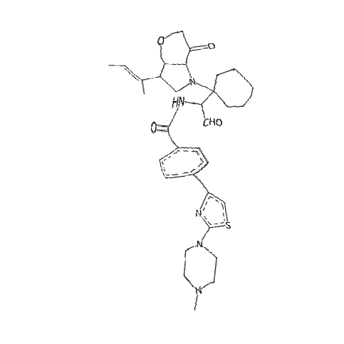 CC=C(C)C1CN(C2(C(C=O)NC(=O)c3ccc(-c4csc(N5CCN(C)CC5)n4)cc3)CCCCC2)C2C(=O)COC12